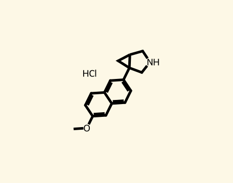 COc1ccc2cc(C34CNCC3C4)ccc2c1.Cl